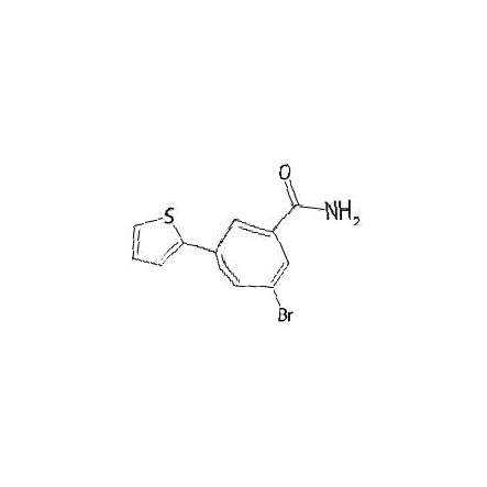 NC(=O)c1cc(Br)cc(-c2cccs2)c1